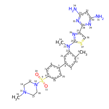 Cc1ccc(-c2ccc(S(=O)(=O)N3CCN(C)CC3)cc2)cc1N(C)c1nc(-c2nc(N)cc(N)n2)cs1